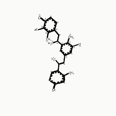 Cc1cc(Cl)ccc1C(C)Cc1cc(Cl)c(C)c(C(C)Cc2ccc(Cl)c(C(C)C)c2C)c1